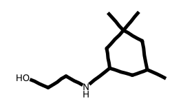 CC1CC(NCCO)CC(C)(C)C1